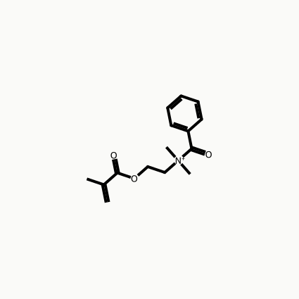 C=C(C)C(=O)OCC[N+](C)(C)C(=O)c1ccccc1